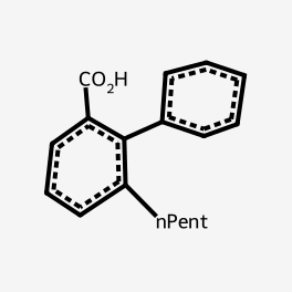 CCCCCc1cccc(C(=O)O)c1-c1ccccc1